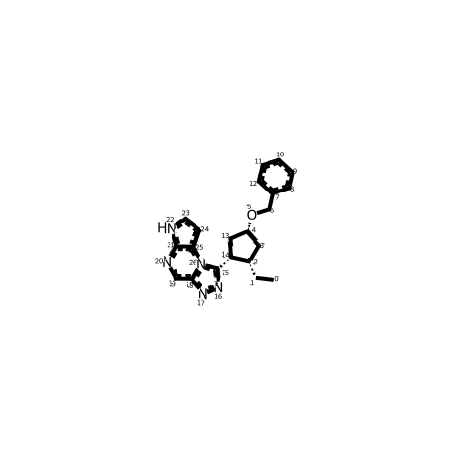 CC[C@H]1C[C@@H](OCc2ccccc2)C[C@H]1c1nnc2cnc3[nH]ccc3n12